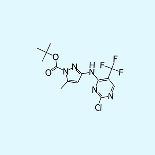 Cc1cc(Nc2nc(Cl)ncc2C(F)(F)F)nn1C(=O)OC(C)(C)C